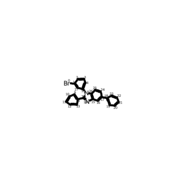 Brc1cccc(-n2c(-c3ccccc3)nc3cc(-c4ccccc4)ccc32)c1